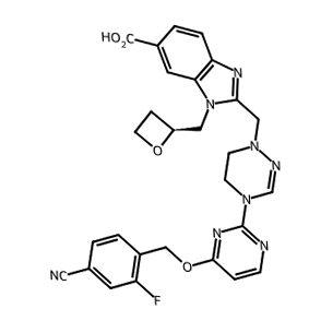 N#Cc1ccc(COc2ccnc(N3C=NN(Cc4nc5ccc(C(=O)O)cc5n4C[C@@H]4CCO4)CC3)n2)c(F)c1